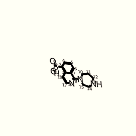 O=[SH](=O)c1cccc2c(N3CCCNCC3)nccc12